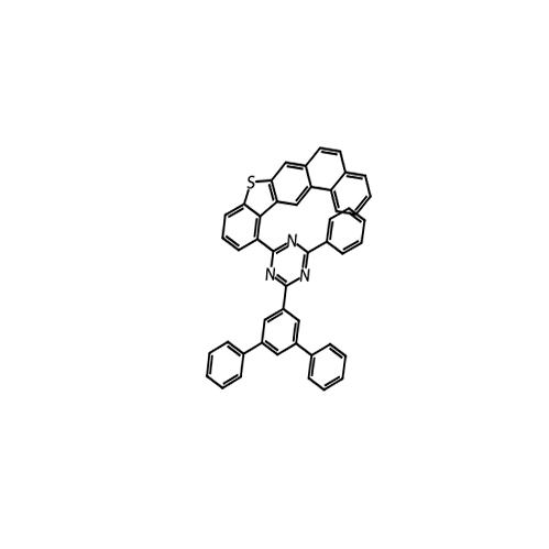 c1ccc(-c2cc(-c3ccccc3)cc(-c3nc(-c4ccccc4)nc(-c4cccc5sc6cc7ccc8ccccc8c7cc6c45)n3)c2)cc1